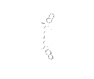 C=C1/C(=C/C=C/C=C/C=C/C2=C(C)c3cc4ccccc4cc3C2=O)C(=O)c2cc3ccccc3cc21